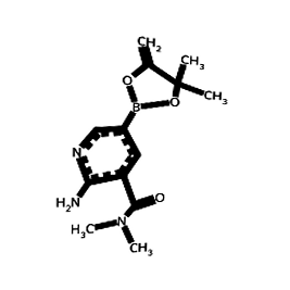 C=C1OB(c2cnc(N)c(C(=O)N(C)C)c2)OC1(C)C